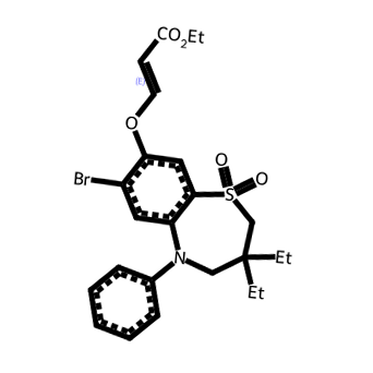 CCOC(=O)/C=C/Oc1cc2c(cc1Br)N(c1ccccc1)CC(CC)(CC)CS2(=O)=O